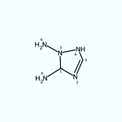 N[C]1N=CNN1N